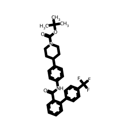 CC(C)(C)OC(=O)N1CCC(c2ccc(NC(=O)c3ccccc3-c3ccc(C(F)(F)F)cc3)cc2)CC1